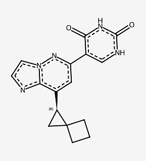 O=c1[nH]cc(-c2cc([C@@H]3CC34CCC4)c3nccn3n2)c(=O)[nH]1